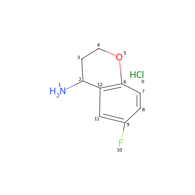 Cl.NC1CCOc2ccc(F)cc21